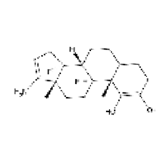 C[C@]12C(O)=C(O)CCC1CC[C@@H]1[C@@H]2CC[C@]2(C)C(N)=CC[C@@H]12